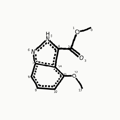 COC(=O)c1[nH]nc2cccc(OC)c12